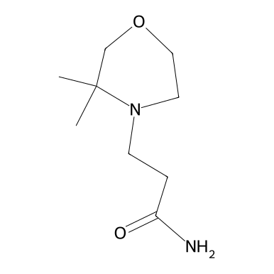 CC1(C)COCCN1CCC(N)=O